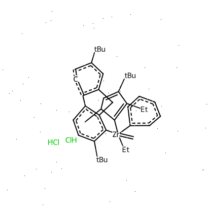 Cl.Cl.[CH2]=[Zr]([CH2]C)([C]1=C(CC)C(C(C)(C)C)=CC1C)([c]1ccccc1)[c]1c(C(C)(C)C)ccc2c1Cc1cc(C(C)(C)C)ccc1-2